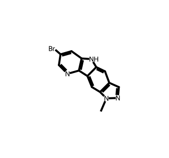 Cn1ncc2cc3[nH]c4cc(Br)cnc4c3cc21